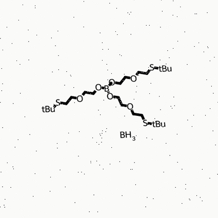 B.CC(C)(C)SCCOCCOB(OCCOCCSC(C)(C)C)OCCOCCSC(C)(C)C